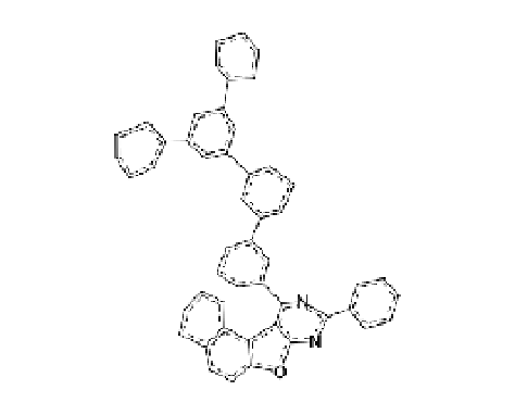 c1ccc(-c2cc(-c3ccccc3)cc(-c3cccc(-c4cccc(-c5nc(-c6ccccc6)nc6oc7ccc8ccccc8c7c56)c4)c3)c2)cc1